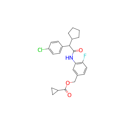 O=C(OCc1ccc(F)c(NC(=O)C(c2ccc(Cl)cc2)C2CCCC2)c1)C1CC1